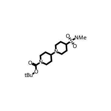 CNS(=O)(=O)C1CCN(C2CCN(C(=O)OC(C)(C)C)CC2)CC1